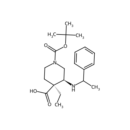 CC[C@]1(C(=O)O)CCN(C(=O)OC(C)(C)C)C[C@H]1NC(C)c1ccccc1